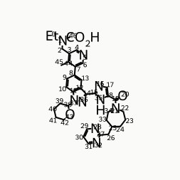 CCN(Cc1cncc(-c2ccc3c(c2)c(-c2ncc(C(=O)N4CCCC(Cc5ncccn5)CC4)[nH]2)nn3C2CCCCO2)c1C)C(=O)O